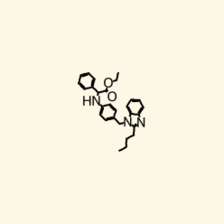 CCCCc1nc2ccccc2n1Cc1ccc(NC(C(=O)OCC)c2ccccc2)cc1